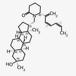 C=C(/C=C\C=C/C)[C@H]1CCCC(=O)N1C[C@H]1CC[C@H]2[C@@H]3CC[C@@H]4C[C@](C)(O)CC[C@@H]4[C@H]3CC[C@]12C